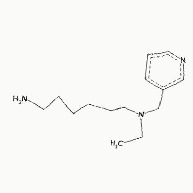 CCN(CCCCCCN)Cc1cccnc1